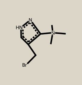 C[Si](C)(C)c1n[nH]cc1CBr